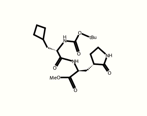 COC(=O)[C@H](C[C@@H]1CCNC1=O)NC(=O)[C@H](CC1CCC1)NC(=O)OC(C)(C)C